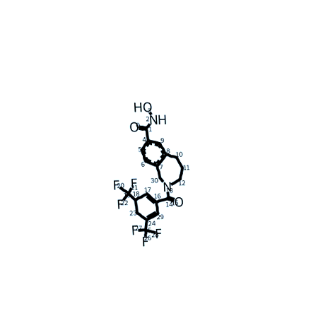 O=C(NO)c1ccc2c(c1)CCCN(C(=O)C1=CC(C(F)(F)F)CC(C(F)(F)F)=C1)C2